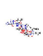 CC(C)C[C@@H]([C]=O)NC(=O)[C@H](CC(=O)O)NC(=O)[C@H](CO)NC(=O)[C@@H](NC(=O)[C@H](Cc1ccccc1)NC(=O)[C@@H](NC(=O)CNC(=O)[C@H](CCC(=O)O)NC(=O)CNC(=O)[C@@H](N)Cc1c[nH]cn1)[C@@H](C)O)[C@@H](C)O